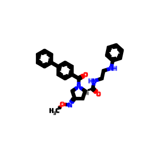 CON=C1C[C@@H](C(=O)NCCNc2ccccc2)N(C(=O)c2ccc(-c3ccccc3)cc2)C1